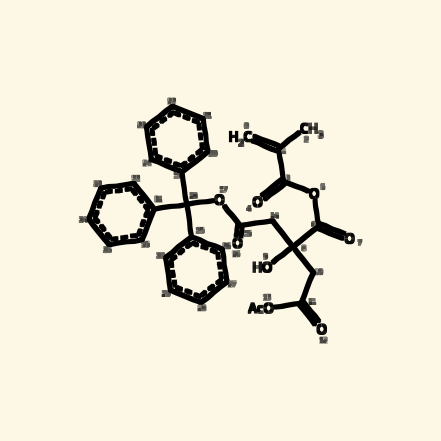 C=C(C)C(=O)OC(=O)C(O)(CC(=O)OC(C)=O)CC(=O)OC(c1ccccc1)(c1ccccc1)c1ccccc1